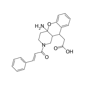 NC12CCN(C(=O)C=Cc3ccccc3)CC1C(CC(=O)O)c1ccccc1O2